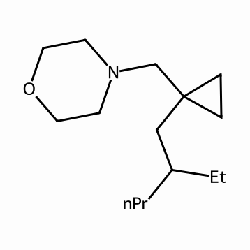 CCCC(CC)CC1(CN2CCOCC2)CC1